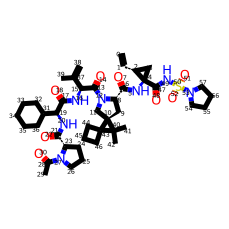 C=C[C@@H]1C[C@]1(NC(=O)[C@@H]1C[C@@]2(CN1C(=O)[C@@H](NC(=O)[C@@H](NC(=O)[C@@H]1CCCN1C(C)=O)C1CCCCC1)C(=C)C)C(C)(C)C21CCC1)C(=O)NS(=O)(=O)N1CCCC1